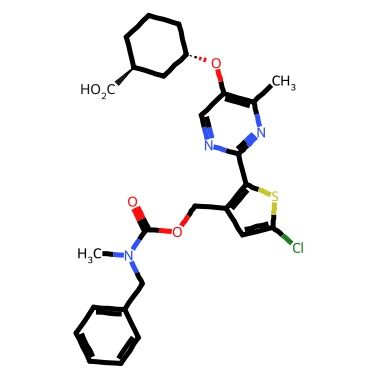 Cc1nc(-c2sc(Cl)cc2COC(=O)N(C)Cc2ccccc2)ncc1O[C@H]1CCC[C@H](C(=O)O)C1